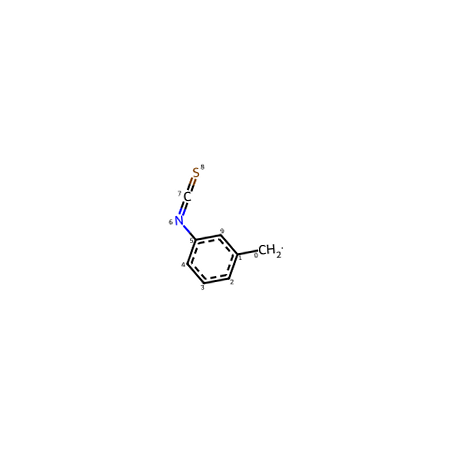 [CH2]c1cccc(N=C=S)c1